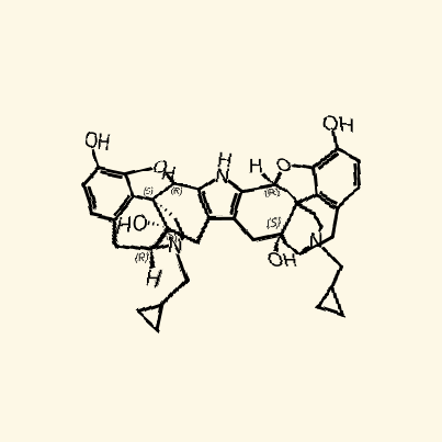 Oc1ccc2c3c1O[C@H]1c4[nH]c5c(c4C[C@@]4(O)C(C2)N(CC2CC2)CCC314)C[C@@]1(O)[C@H]2Cc3ccc(O)c4c3[C@@]1(CCN2CC1CC1)[C@H]5O4